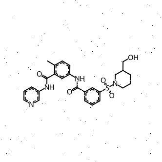 Cc1ccc(NC(=O)c2cccc(S(=O)(=O)N3CCCC(CO)C3)c2)cc1C(=O)Nc1cccnc1